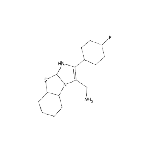 NCC1=C(C2CCC(F)CC2)NC2SC3CCCCC3N12